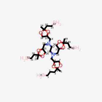 BCCCC1(C)OCC(CN(CCN(CC2COC(C)(CCB)O2)CC2COC(C)(CCB)O2)CC2COC(C)(CCB)O2)O1